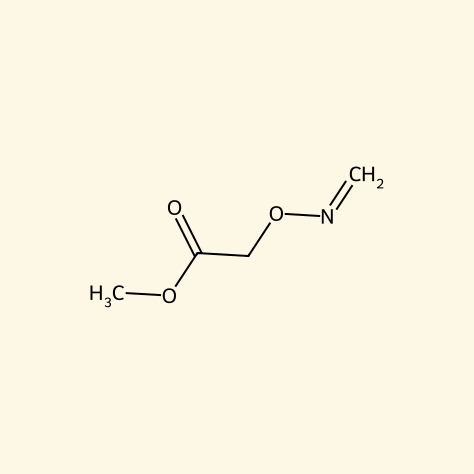 C=NOCC(=O)OC